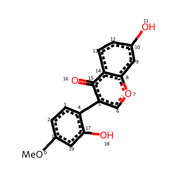 COc1ccc(-c2coc3cc(O)ccc3c2=O)c(O)c1